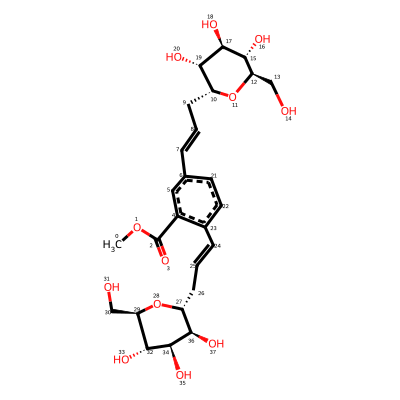 COC(=O)c1cc(/C=C/C[C@H]2O[C@H](CO)[C@@H](O)[C@H](O)[C@H]2O)ccc1/C=C/C[C@H]1O[C@H](CO)[C@@H](O)[C@H](O)[C@@H]1O